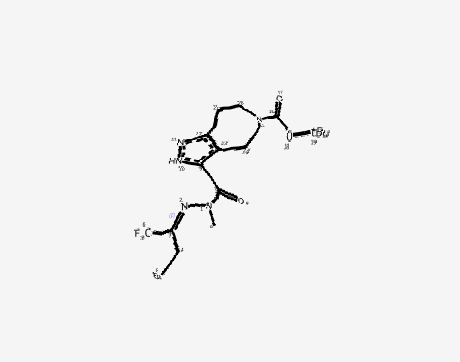 CN(/N=C(\CBr)C(F)(F)F)C(=O)c1[nH]nc2c1CN(C(=O)OC(C)(C)C)CC2